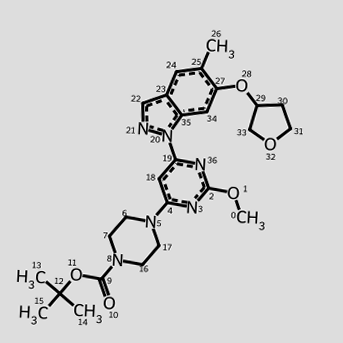 COc1nc(N2CCN(C(=O)OC(C)(C)C)CC2)cc(-n2ncc3cc(C)c(OC4CCOC4)cc32)n1